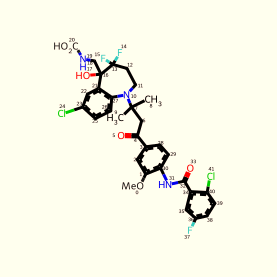 COc1cc(C(=O)CC(C)(C)N2CCC(F)(F)C(O)(CNC(=O)O)c3cc(Cl)ccc32)ccc1NC(=O)c1cc(F)ccc1Cl